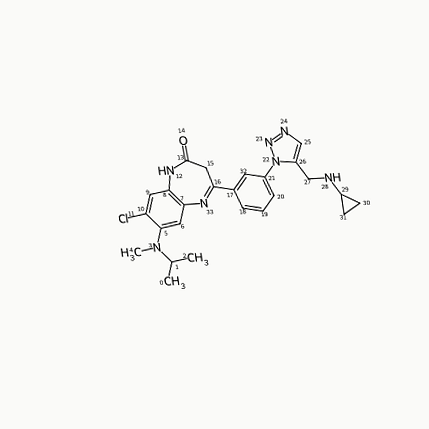 CC(C)N(C)c1cc2c(cc1Cl)NC(=O)CC(c1cccc(-n3nncc3CNC3CC3)c1)=N2